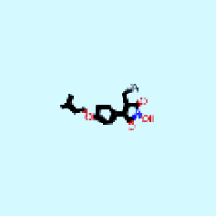 CC(C)=CCOc1ccc(C2=C(CC(C)C)C(=O)N(O)C2=O)cc1